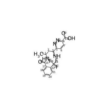 CC(CC(=N)c1ccc(C(=O)O)nn1)NC(=O)c1ccccc1C(F)(F)F